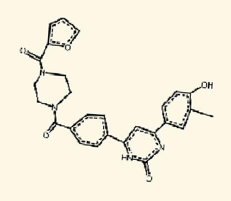 Cc1cc(-c2cc(-c3ccc(C(=O)N4CCN(C(=O)c5ccco5)CC4)cc3)[nH]c(=O)n2)ccc1O